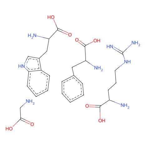 N=C(N)NCCCC(N)C(=O)O.NC(Cc1c[nH]c2ccccc12)C(=O)O.NC(Cc1ccccc1)C(=O)O.NCC(=O)O